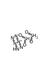 O=[SH2]=O.O=[SH2]=O.[N-]=[N+]=N.[N-]=[N+]=[N-]